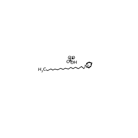 CCCCCCCCCCCCCCCC[n+]1ccccc1.O=S(=O)([O-])O